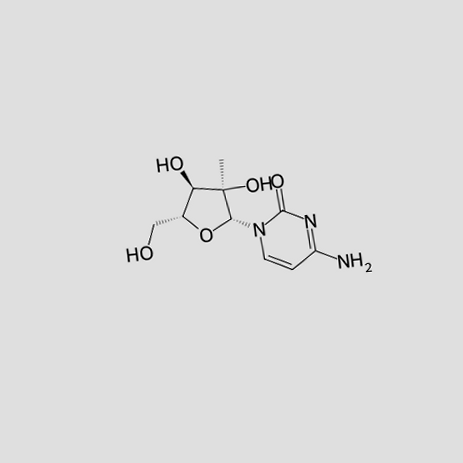 C[C@@]1(O)[C@H](O)[C@@H](CO)O[C@H]1n1ccc(N)nc1=O